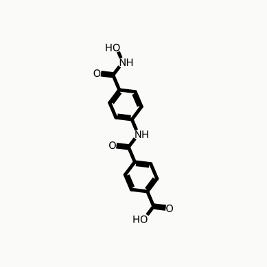 O=C(O)c1ccc(C(=O)Nc2ccc(C(=O)NO)cc2)cc1